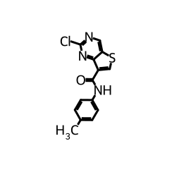 Cc1ccc(NC(=O)c2csc3cnc(Cl)nc23)cc1